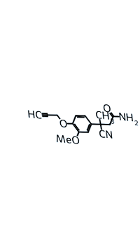 C#CCOc1ccc(C(C)(C#N)CC(N)=O)cc1OC